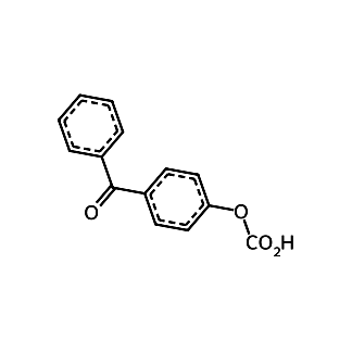 O=C(O)Oc1ccc(C(=O)c2ccccc2)cc1